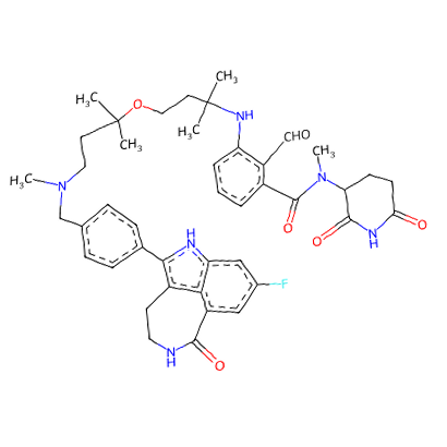 CN(CCC(C)(C)OCCC(C)(C)Nc1cccc(C(=O)N(C)C2CCC(=O)NC2=O)c1C=O)Cc1ccc(-c2[nH]c3cc(F)cc4c3c2CCNC4=O)cc1